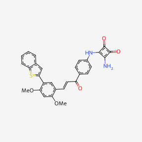 COc1cc(OC)c(-c2cc3ccccc3s2)cc1C=CC(=O)c1ccc(Nc2c(N)c(=O)c2=O)cc1